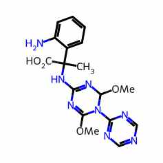 COC1=NC(NC(C)(C(=O)O)c2ccccc2N)=NC(OC)N1c1ncncn1